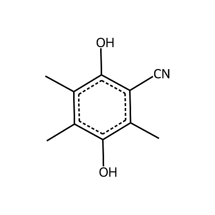 Cc1c(C)c(O)c(C#N)c(C)c1O